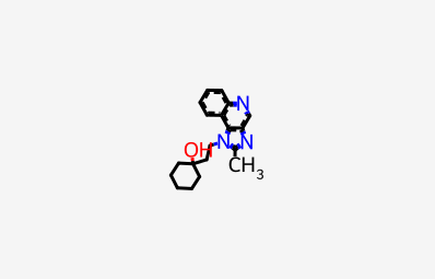 Cc1nc2cnc3ccccc3c2n1CCC1(O)CCCCC1